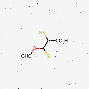 O=COC(S)C(S)C(=O)O